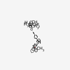 CC(OC1CCCCO1)c1nccn1Cc1cc(-c2ccc(C#C[C@H]3C[C@@H](O[Si](C)(C)C(C)(C)C)C3)cc2)on1